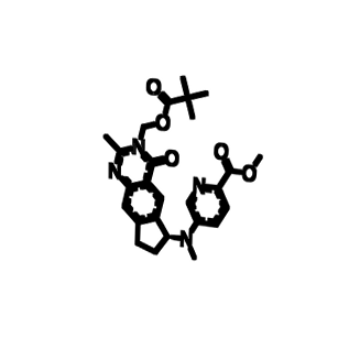 COC(=O)c1ccc(N(C)[C@H]2CCc3cc4nc(C)n(COC(=O)C(C)(C)C)c(=O)c4cc32)cn1